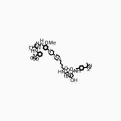 COc1cc(N2CCC(N3CCN(CCCCC(=O)NC(C(=O)N4C[C@H](O)C[C@@H]4C(=O)NCc4ccc(-c5scnc5C)cc4)C(C)(C)C)CC3)CC2)ccc1Nc1ncc(Cl)c(Nc2ccccc2N(C)S(C)(=O)=O)n1